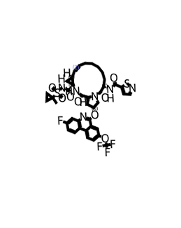 CC1(S(=O)(=O)NC(=O)[C@@]23C[C@H]2/C=C\CCCCC[C@H](NC(=O)c2ccns2)C(=O)N2C[C@H](Oc4nc5cc(F)ccc5c5ccc(OC(F)(F)F)cc45)C[C@H]2C(=O)N3)CC1